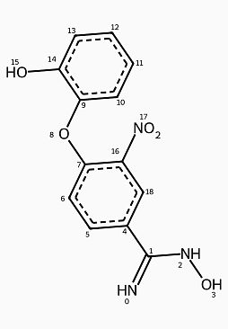 N=C(NO)c1ccc(Oc2ccccc2O)c([N+](=O)[O-])c1